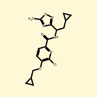 Cc1nc(C(CC2CC2)NC(=O)c2ccc(OCC3CC3)c(Cl)n2)no1